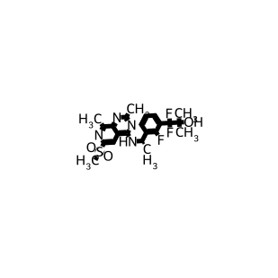 Cc1nc(N[C@H](C)c2cccc(C(F)(F)C(C)(C)O)c2F)c2cc(S(C)(=O)=O)nc(C)c2n1